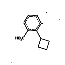 O=C(O)c1ccc[c]c1C1CCC1